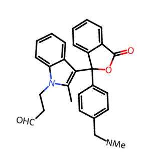 CNCc1ccc(C2(c3c(C)n(CCC=O)c4ccccc34)OC(=O)c3ccccc32)cc1